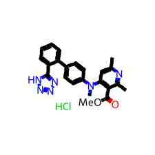 COC(=O)c1c(N(C)c2ccc(-c3ccccc3-c3nnn[nH]3)cc2)cc(C)nc1C.Cl